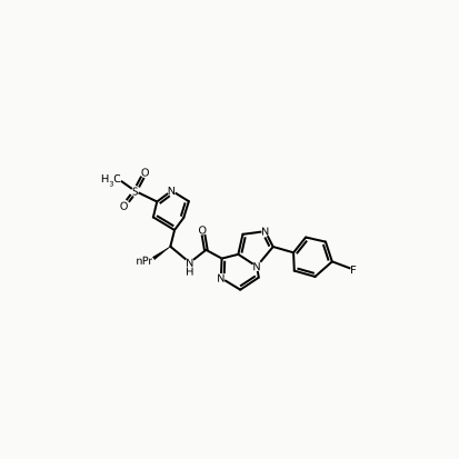 CCC[C@H](NC(=O)c1nccn2c(-c3ccc(F)cc3)ncc12)c1ccnc(S(C)(=O)=O)c1